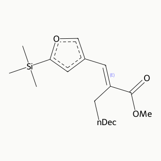 CCCCCCCCCCC/C(=C\c1coc([Si](C)(C)C)c1)C(=O)OC